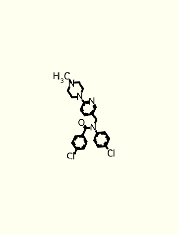 CN1CCN(c2ccc(CN(C(=O)c3ccc(Cl)cc3)c3ccc(Cl)cc3)cn2)CC1